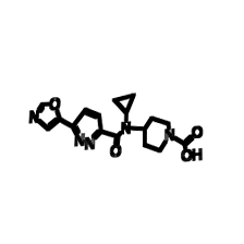 O=C(O)N1CCC(N(C(=O)c2ccc(-c3cnco3)nn2)C2CC2)CC1